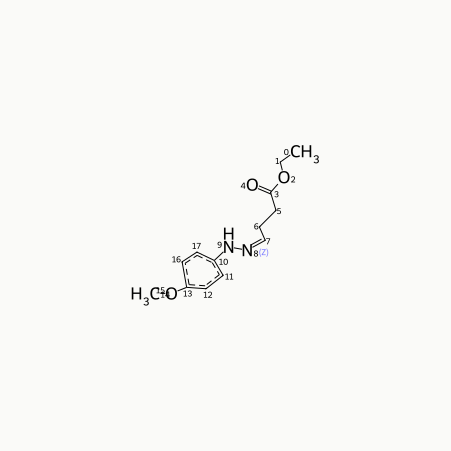 CCOC(=O)CC/C=N\Nc1ccc(OC)cc1